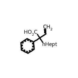 C=CC(CCCCCCC)(C(=O)O)c1ccccc1